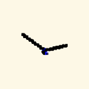 CCCCCCCCCCCCCCCCN1C=CN(C)C1CCCCCCCCCCCCC